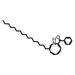 CCCCCCCCCCCCCCCCc1cccccc(C(=O)c2ccccc2)[nH]c1